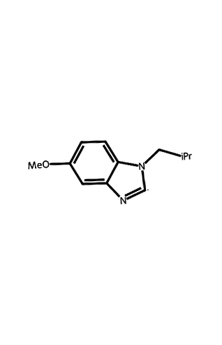 COc1ccc2c(c1)n[c]n2CC(C)C